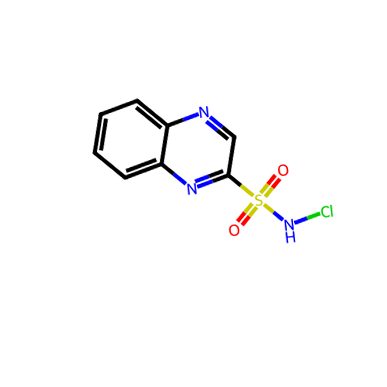 O=S(=O)(NCl)c1cnc2ccccc2n1